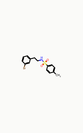 Cc1ccc(S(=O)(=O)NCCc2cccc(Br)c2)cc1